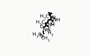 Cc1[nH]c(C=C2C(=O)NN=C2C2(C)CC2)c(C)c1C(=O)NCCN(C)C